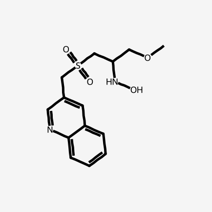 COCC(CS(=O)(=O)Cc1cnc2ccccc2c1)NO